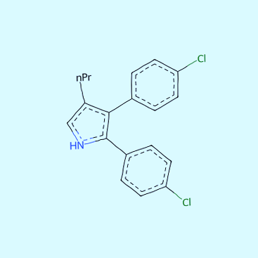 CCCc1c[nH]c(-c2ccc(Cl)cc2)c1-c1ccc(Cl)cc1